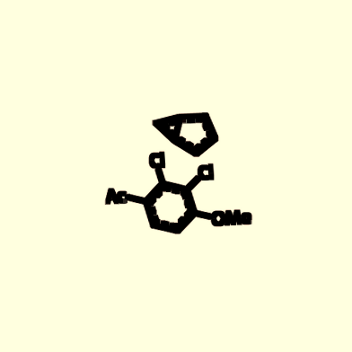 COc1ccc(C(C)=O)c(Cl)c1Cl.c1cc2cc-2c1